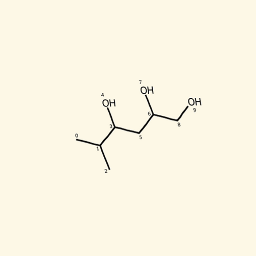 CC(C)C(O)CC(O)CO